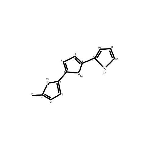 Cc1c[c]c(-c2ccc(-c3cccs3)s2)s1